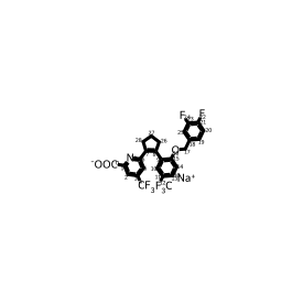 O=C([O-])c1cc(C(F)(F)F)cc(C2=C(c3cc(C(F)(F)F)ccc3OCc3ccc(F)c(F)c3)CCC2)n1.[Na+]